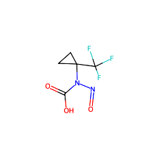 O=NN(C(=O)O)C1(C(F)(F)F)CC1